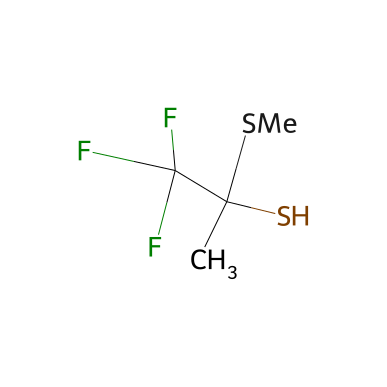 CSC(C)(S)C(F)(F)F